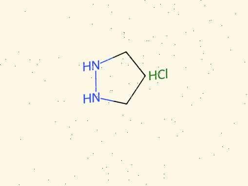 C1CNNC1.Cl